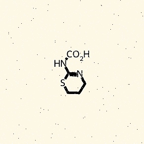 O=C(O)NC1=NCCCS1